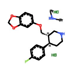 CC(C)NC(C)C.Cl.Cl.Fc1ccc([C@@H]2CCNC[C@H]2COc2ccc3c(c2)OCO3)cc1